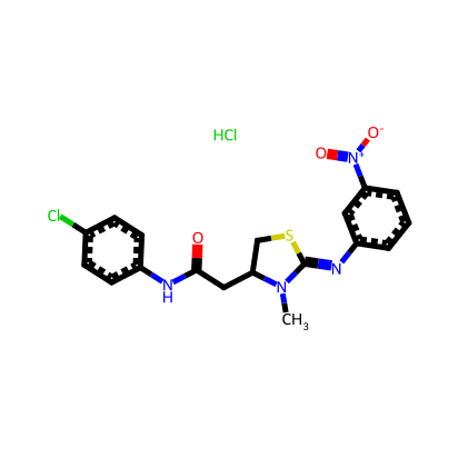 CN1C(=Nc2cccc([N+](=O)[O-])c2)SCC1CC(=O)Nc1ccc(Cl)cc1.Cl